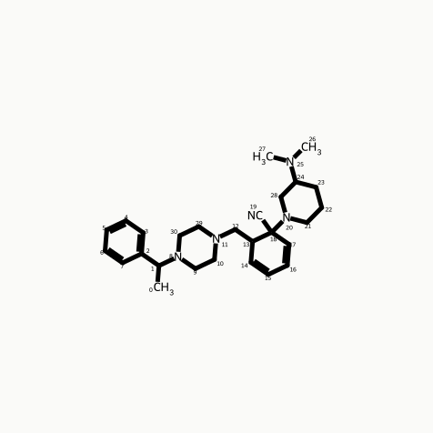 CC(c1ccccc1)N1CCN(CC2C=CC=CC2(C#N)N2CCCC(N(C)C)C2)CC1